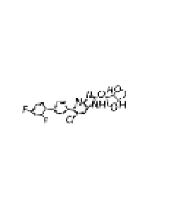 Fc1ccc(-c2ccc(-c3nc4nc(OC5CO[C@@H]6CCO[C@H]56)[nH]c4cc3Cl)cc2)c(F)c1